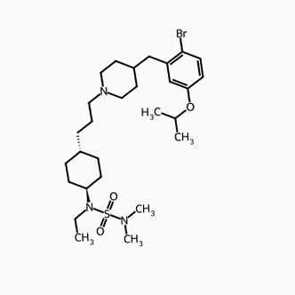 CCN([C@H]1CC[C@H](CCCN2CCC(Cc3cc(OC(C)C)ccc3Br)CC2)CC1)S(=O)(=O)N(C)C